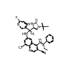 [2H]C(Nc1cc(Cl)c2ncc(C#N)c(N[C@H](CC)c3ccccc3)c2c1)(C1=CN(C(C)(C)C)NN1)c1ccc(F)nc1